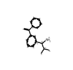 C=C(c1ccccc1)c1cccc(C(N)C(C)C)c1